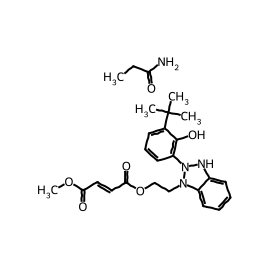 CCC(N)=O.COC(=O)C=CC(=O)OCCN1c2ccccc2NN1c1cccc(C(C)(C)C)c1O